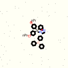 CCCOc1ccc([Si](Cn2ccnc2)(c2ccccc2)c2ccc(OCCC)cc2)cc1.c1ccc(B(c2ccccc2)c2ccccc2)cc1